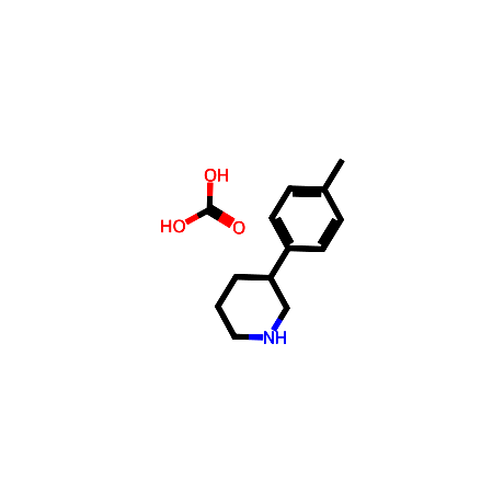 Cc1ccc(C2CCCNC2)cc1.O=C(O)O